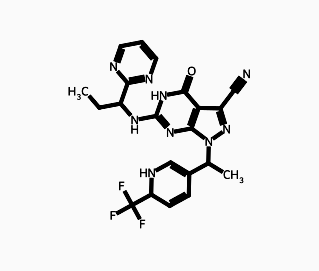 CCC(Nc1nc2c(c(C#N)nn2C(C)C2=CNC(C(F)(F)F)C=C2)c(=O)[nH]1)c1ncccn1